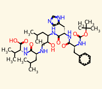 CC(C)CC(NC(=O)[C@H](Cc1cnc[nH]1)NC(=O)[C@H](Cc1ccccc1)NC(=O)OC(C)(C)C)C(O)CN[C@@H](CC(C)C)C(=O)N[C@@H](C(=O)O)C(C)C